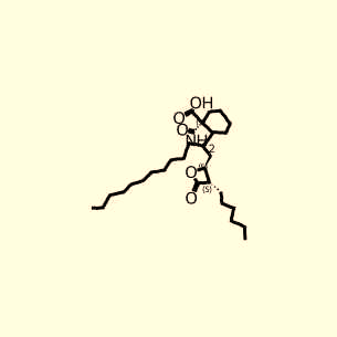 CCCCCCCCCCCC(C[C@@H]1OC(=O)[C@H]1CCCCCC)C1CCCC[C@]1(C(N)=O)C(=O)O